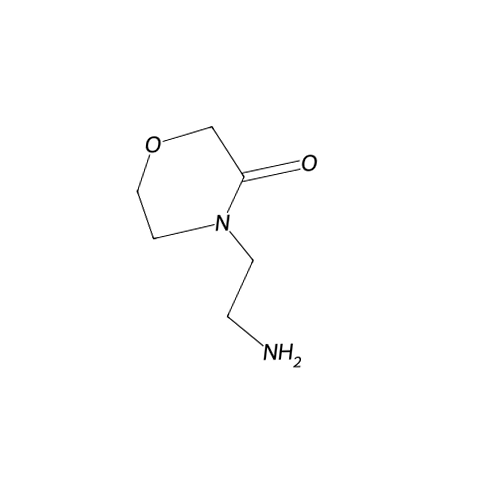 NCCN1CCOCC1=O